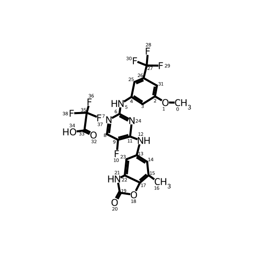 COc1cc(Nc2ncc(F)c(Nc3cc(C)c4oc(=O)[nH]c4c3)n2)cc(C(F)(F)F)c1.O=C(O)C(F)(F)F